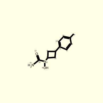 Cc1ccc(C2CC(N(O)C(N)=O)C2)cc1